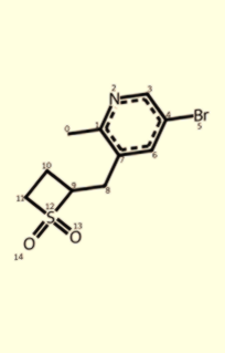 Cc1ncc(Br)cc1CC1CCS1(=O)=O